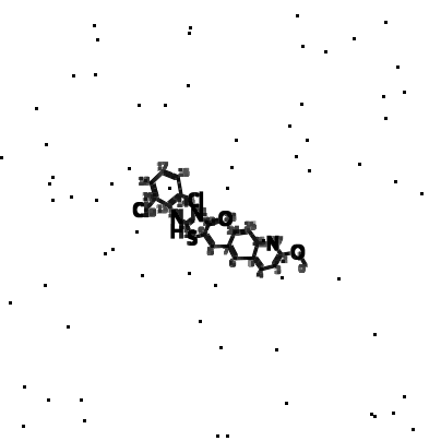 COc1ccc2cc(C=C3SC(Nc4c(Cl)cccc4Cl)=NC3=O)ccc2n1